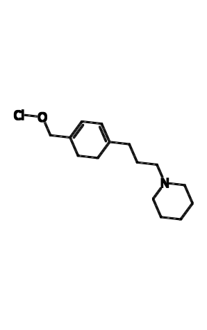 ClOCC1=CC=C(CCCN2CCCCC2)CC1